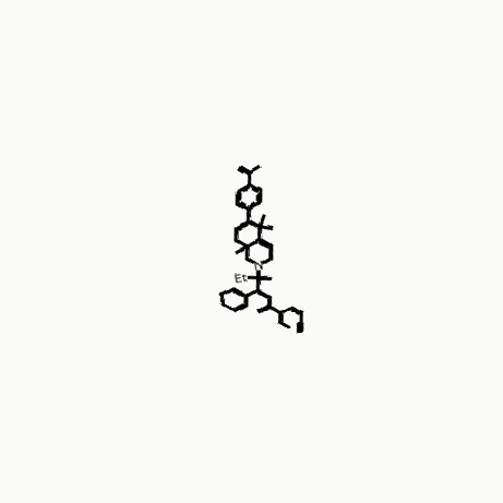 C#C/C=C\C(=C/C)C(=C)/C=C(\C1=CCCC=C1)C(C)(CC)N1CC=C2C(C)(CC=C(c3ccc(C(=C)C)cc3)C2(C)C)C1